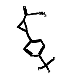 NC(=O)C1CC1c1ccc(C(F)(F)F)cc1